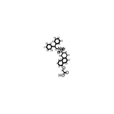 O=C(O)COc1cccc2c3c(ccc12)CCC(S(=O)(=O)NCC(c1ccccc1)c1ccccc1)C3